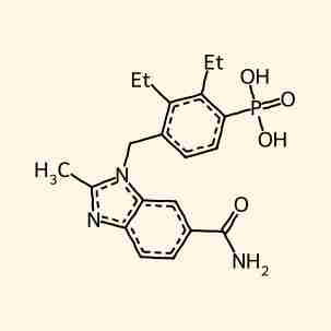 CCc1c(Cn2c(C)nc3ccc(C(N)=O)cc32)ccc(P(=O)(O)O)c1CC